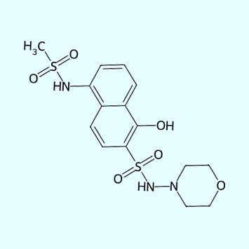 CS(=O)(=O)Nc1cccc2c(O)c(S(=O)(=O)NN3CCOCC3)ccc12